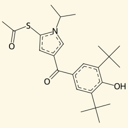 CC(=O)Sc1cc(C(=O)c2cc(C(C)(C)C)c(O)c(C(C)(C)C)c2)cn1C(C)C